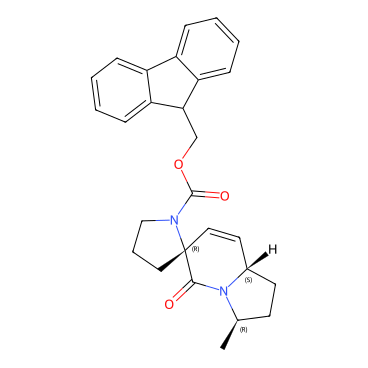 C[C@@H]1CC[C@H]2C=C[C@]3(CCCN3C(=O)OCC3c4ccccc4-c4ccccc43)C(=O)N12